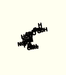 COc1ccc(-c2cnc(N3CCC(NCCc4ccc(CC(=O)NO)cc4)CC3)c(C#N)c2-c2ccc(C#N)c(F)c2)cc1O.O=CO